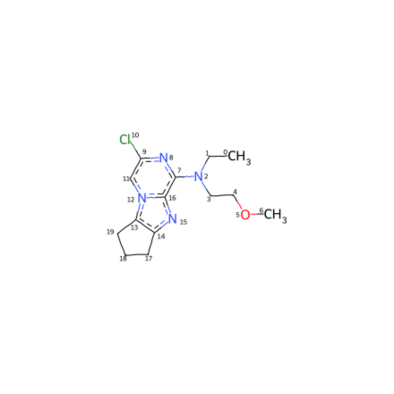 CCN(CCOC)c1nc(Cl)cn2c3c(nc12)CCC3